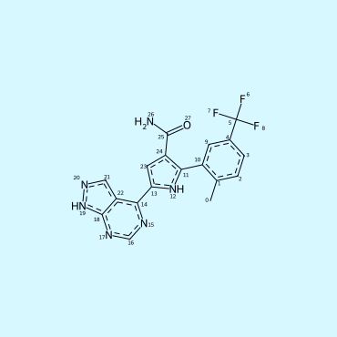 Cc1ccc(C(F)(F)F)cc1-c1[nH]c(-c2ncnc3[nH]ncc23)cc1C(N)=O